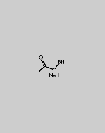 BOC(C)=O.[NaH]